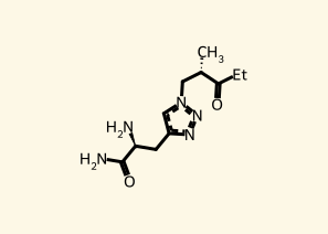 CCC(=O)[C@@H](C)Cn1cc(C[C@H](N)C(N)=O)nn1